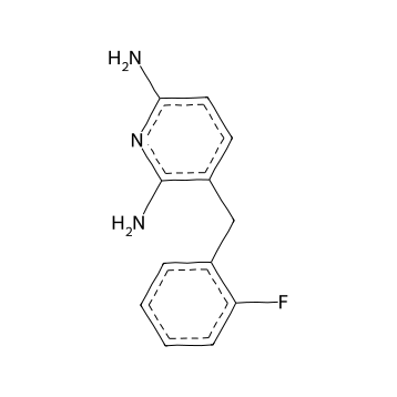 Nc1ccc(Cc2ccccc2F)c(N)n1